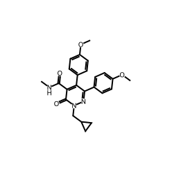 CNC(=O)c1c(-c2ccc(OC)cc2)c(-c2ccc(OC)cc2)nn(CC2CC2)c1=O